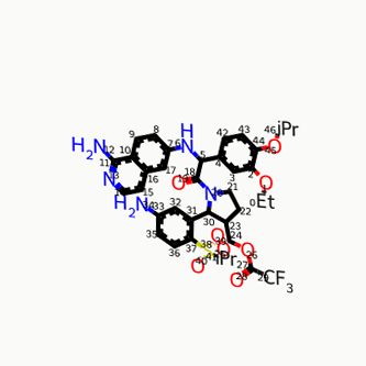 CCOc1cc(C(Nc2ccc3c(N)nccc3c2)C(=O)N2CCC(C(=O)OC(=O)C(F)(F)F)C2c2cc(N)ccc2S(=O)(=O)C(C)C)ccc1OC(C)C